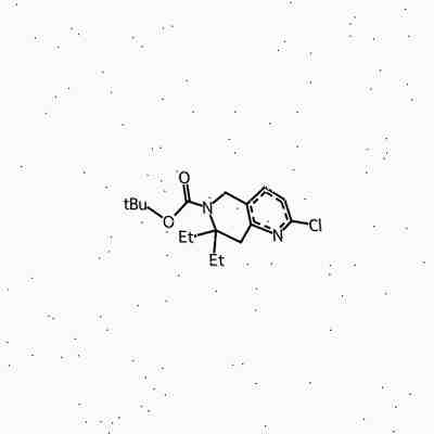 CCC1(CC)Cc2nc(Cl)ccc2CN1C(=O)OC(C)(C)C